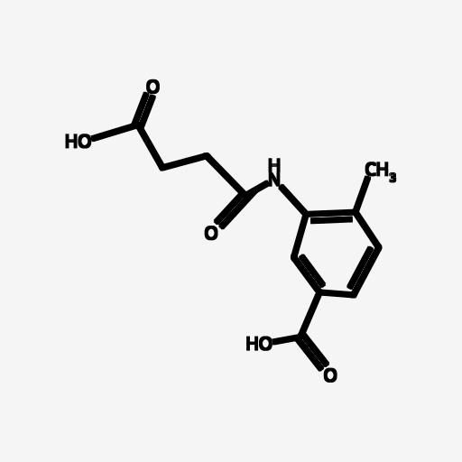 Cc1ccc(C(=O)O)cc1NC(=O)CCC(=O)O